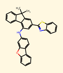 CC1(C)c2ccccc2-c2c(Nc3ccc4c(c3)oc3ccccc34)cc(-c3nc4ccccc4s3)cc21